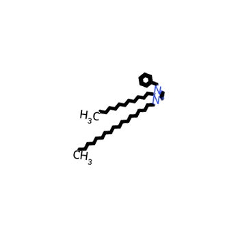 CCCCCCCCCCCCCCCCCCC[n+]1ccn(Cc2ccccc2)c1CCCCCCCCCCCC